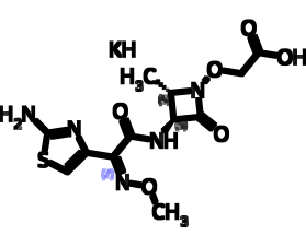 CO/N=C(\C(=O)N[C@@H]1C(=O)N(OCC(=O)O)[C@H]1C)c1csc(N)n1.[KH]